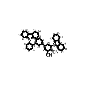 N#Cc1cc(-c2cccc(-c3ccccc3-n3c4ccccc4c4ccccc43)c2)cc(-n2c3ccccc3c3ccccc32)c1C#N